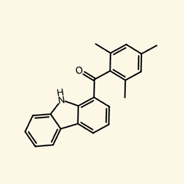 Cc1cc(C)c(C(=O)c2cccc3c2[nH]c2ccccc23)c(C)c1